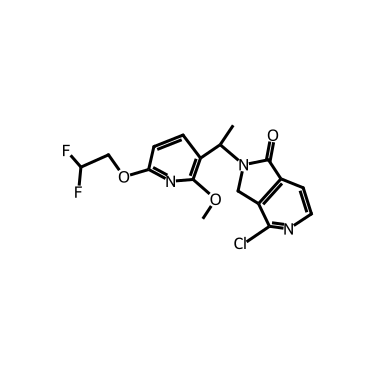 COc1nc(OCC(F)F)ccc1C(C)N1Cc2c(ccnc2Cl)C1=O